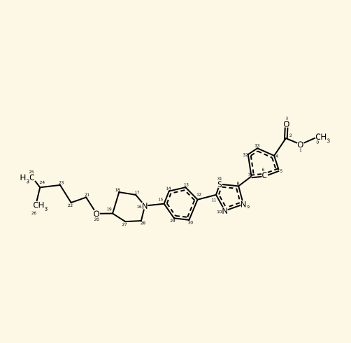 COC(=O)c1ccc(-c2nnc(-c3ccc(N4CCC(OCCCC(C)C)CC4)cc3)s2)cc1